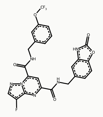 O=C(NCc1ccc2oc(=O)[nH]c2c1)c1cc(C(=O)NCc2cccc(OC(F)(F)F)c2)n2ncc(F)c2n1